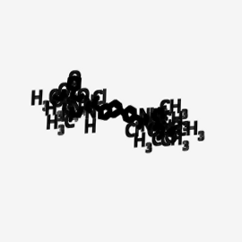 COC(=O)N[C@H](C(=O)N1[C@H](C)[C@H](C)C[C@H]1c1nc(Cl)c(-c2ccc(-c3ccc4cc(-c5[nH]c([C@@H]6C[C@@H](C)[C@@H](C)N6C(=O)[C@@H](NC(=O)OC)C6CCOCC6)nc5Cl)ccc4c3)cc2)[nH]1)C(C)C